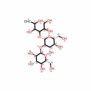 O=CC(O)C(O)C(O[C@@H]1O[C@H](CO)[C@@H](O)[C@H](O)[C@H]1O[C@H]1O[C@H](CO)[C@@H](O)[C@H](O)[C@H]1O)C(O)CO